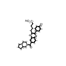 O=C(O)CCCCc1nc2cc(C(=O)N3CCN4CCCC4C3)ccc2nc1-c1ccc(Cl)cc1